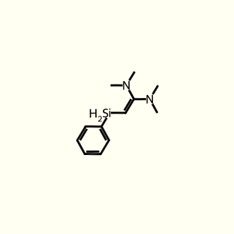 CN(C)C(=C[SiH2]c1ccccc1)N(C)C